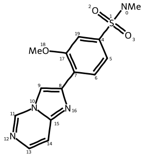 CNS(=O)(=O)c1ccc(-c2cn3cnccc3n2)c(OC)c1